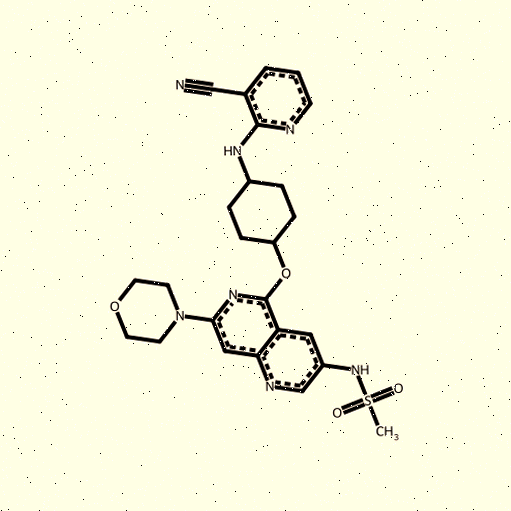 CS(=O)(=O)Nc1cnc2cc(N3CCOCC3)nc(OC3CCC(Nc4ncccc4C#N)CC3)c2c1